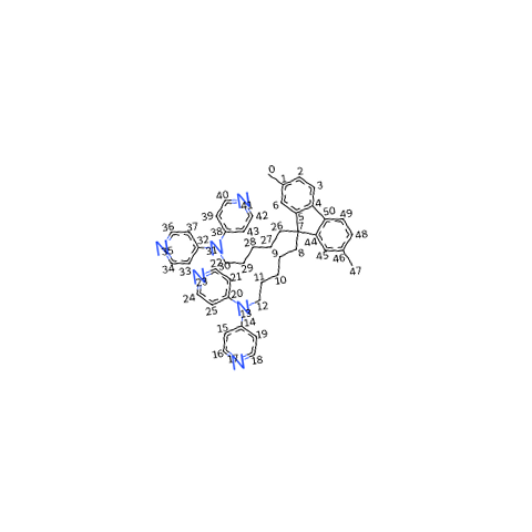 Cc1ccc2c(c1)C(CCCCCN(c1ccncc1)c1ccncc1)(CCCCCN(c1ccncc1)c1ccncc1)c1cc(C)ccc1-2